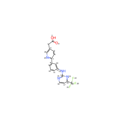 O=C(O)Cc1ccc(-c2cccc(Nc3nccc(C(F)(F)F)n3)c2)nc1